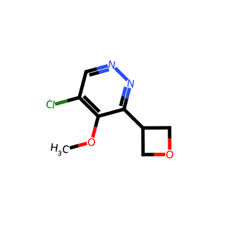 COc1c(Cl)cnnc1C1COC1